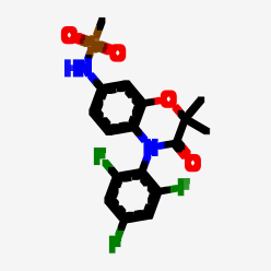 CC1(C)Oc2cc(NS(C)(=O)=O)ccc2N(c2c(F)cc(F)cc2F)C1=O